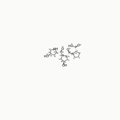 O=C(O)[C@@H]1CCCN1C(=O)[C@@H]1C[C@@H](O)CN1C(=O)[C@@H]1C[C@@H](O)CN1